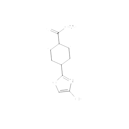 COC(=O)C1CCC(c2nc(C)co2)CC1